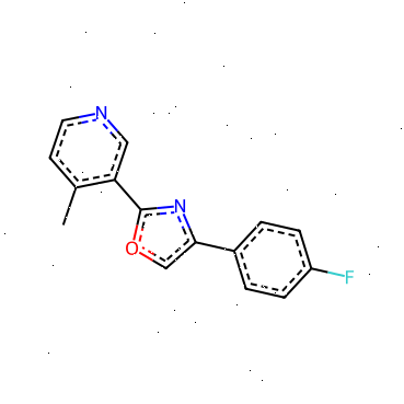 Cc1ccncc1-c1nc(-c2ccc(F)cc2)co1